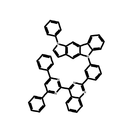 c1ccc(-c2cc(-c3ccccc3)nc(-c3nc(-c4cccc(-n5c6ccccc6c6cc7c(ccn7-c7ccccc7)cc65)c4)nc4ccccc34)n2)cc1